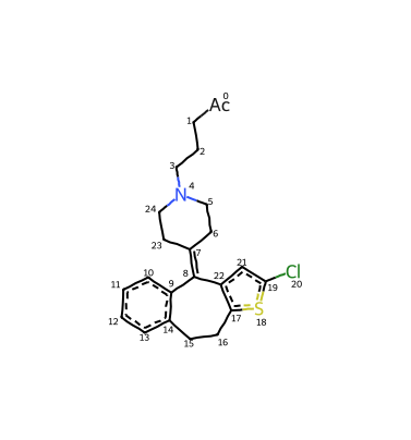 CC(=O)CCCN1CCC(=C2c3ccccc3CCc3sc(Cl)cc32)CC1